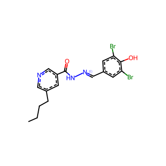 CCCCc1cncc(C(=O)N/N=C/c2cc(Br)c(O)c(Br)c2)c1